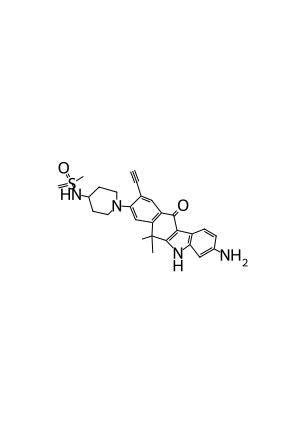 C#Cc1cc2c(cc1N1CCC(NS(=C)(C)=O)CC1)C(C)(C)c1[nH]c3cc(N)ccc3c1C2=O